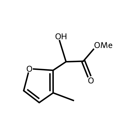 COC(=O)C(O)c1occc1C